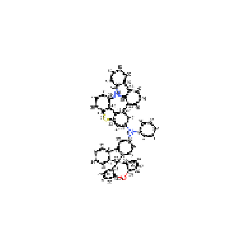 c1ccc(N(c2ccc3c(c2)-c2ccccc2C32c3ccccc3Oc3ccccc32)c2cc3sc4cccc5c4c3c(c2)c2cccc3c4ccccc4n5c23)cc1